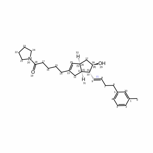 Cc1cccc(CC/C=C/[C@@H]2[C@H]3CC(CCCCC(=O)N4CCCC4)=C[C@H]3C[C@H]2O)c1